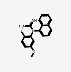 CSc1ccc(I)c(N(C(=N)N)c2cccc3ccccc23)c1